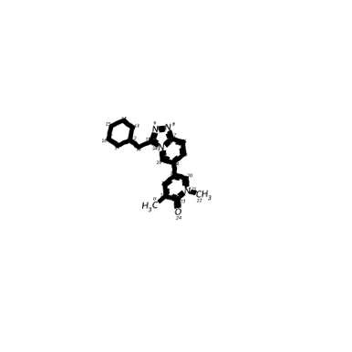 Cc1cc(-c2ccc3nnc(CC4CCCCC4)n3c2)cn(C)c1=O